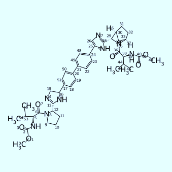 COC(=O)N[C@H](C(=O)N1CCC[C@H]1C1=NCC(c2ccc(-c3ccc(-c4cnc([C@@H]5[C@H]6CC[C@H](C6)N5C(=O)[C@@H](NC(=O)OC)C(C)C)[nH]4)cc3)cc2)N1)C(C)C